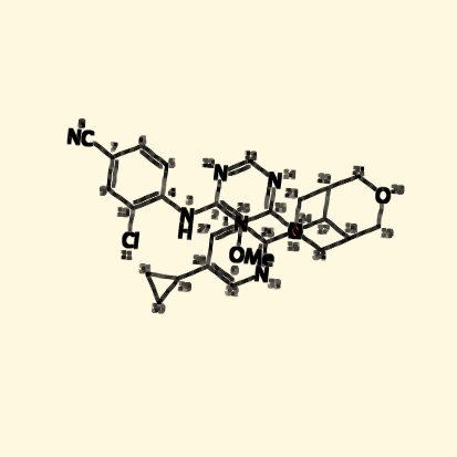 COc1c(Nc2ccc(C#N)cc2Cl)ncnc1OC1C2COCC1CN(c1ncc(C3CC3)cn1)C2